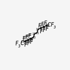 FC(F)(F)C(F)(F)C(F)(F)C(F)(F)CCCCC(F)(F)C(F)(F)C(F)(F)C(F)(F)F